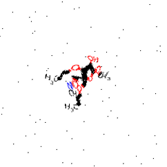 C=NOC[C@]1(COCCCC)OC(OC)[C@H](O)[C@@H]1OCCCC